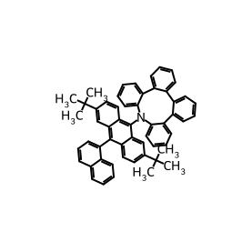 CC(C)(C)c1ccc2c(-n3c4ccccc4c4ccccc4c4ccccc4c4ccccc43)c3cc(C(C)(C)C)ccc3c(-c3cccc4ccccc34)c2c1